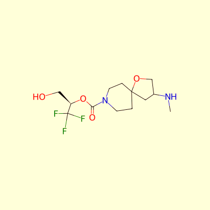 CNC1COC2(CCN(C(=O)O[C@H](CO)C(F)(F)F)CC2)C1